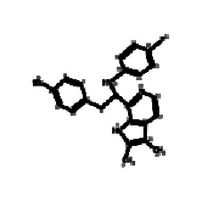 Cc1[nH]c2c(C(Cc3ccc(C(C)(C)C)cc3)Nc3ccc(F)cc3)nccc2c1C